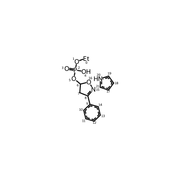 CCOP(=O)(O)OC1CC(c2ccccc2)=NO1.c1cc[nH]c1